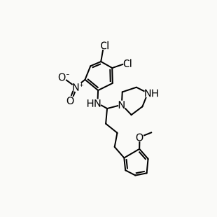 COc1ccccc1CCCC(Nc1cc(Cl)c(Cl)cc1[N+](=O)[O-])N1CCNCC1